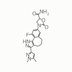 Cc1cc(-c2n[nH]c3c2CCCc2cc(N4CC(C(N)=O)OC4=O)cc(F)c2-3)nn1C